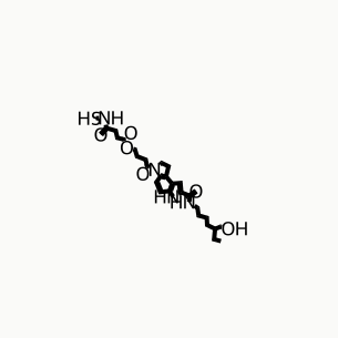 CCC(CO)CCCCNC(=O)c1cc2c3c(ccc2[nH]1)N(C(=O)CCCOC(=O)CCC(=O)NS)CC3